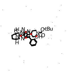 CC(C)(C)OC(=O)N1CCC(c2cnc(N3[C@@H]4CC[C@H]3CN(c3cc(-c5ccccc5O)nnc3N)C4)nc2)CC1